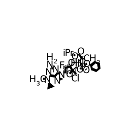 CC(C)OC(=O)[C@H](C)NP(=O)(OC[C@@]1(CCl)O[C@@H](n2cnc3c(N(C)C4CC4)nc(N)nc32)[C@@H](F)[C@@H]1O)Oc1ccccc1